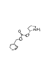 O=C(OCc1ccccc1)OC1CCCN1